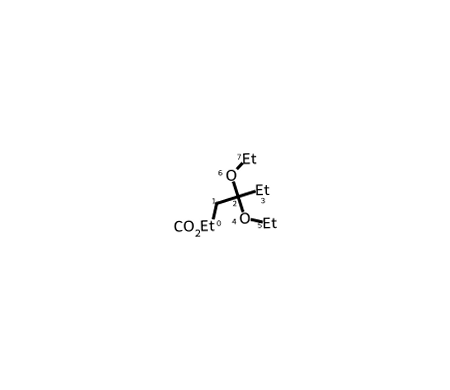 CCOC(=O)CC(CC)(OCC)OCC